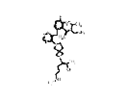 C=C(c1cc(F)ccc1Cc1nncnc1N1CCC2(C1)CN(C(CCCNC)C(C)C)C2)N(CC)C(C)C